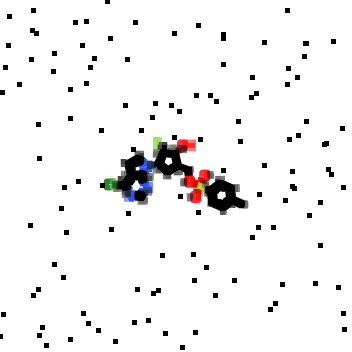 Cc1ccc(S(=O)(=O)OC[C@H]2C[C@@H](n3ccc4c(Cl)ncnc43)[C@H](F)[C@@H]2O)cc1